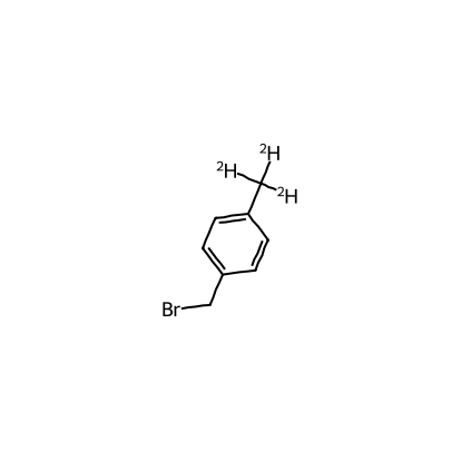 [2H]C([2H])([2H])c1ccc(CBr)cc1